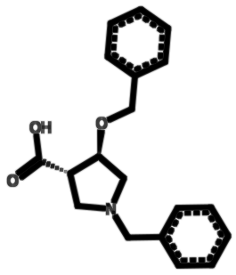 O=C(O)[C@H]1CN(Cc2ccccc2)C[C@@H]1OCc1ccccc1